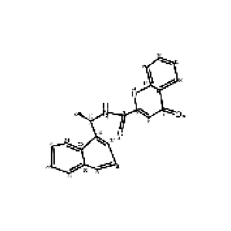 C[C@@H](NC(=O)c1cc(=O)c2ccccc2o1)c1cccc2ccccc12